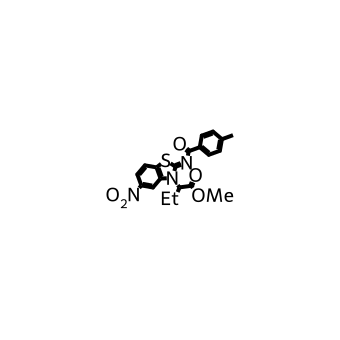 CCC(C(=O)OC)n1c(=NC(=O)c2ccc(C)cc2)sc2ccc([N+](=O)[O-])cc21